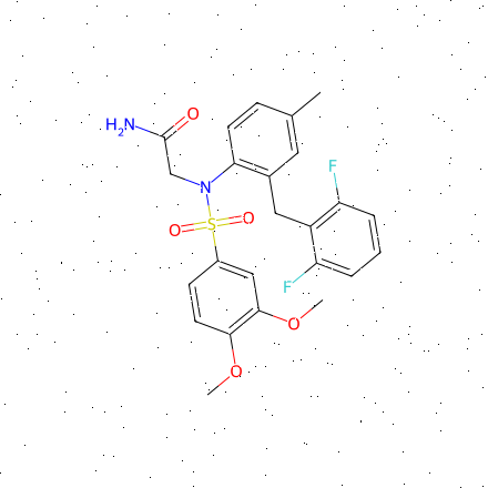 COc1ccc(S(=O)(=O)N(CC(N)=O)c2ccc(C)cc2Cc2c(F)cccc2F)cc1OC